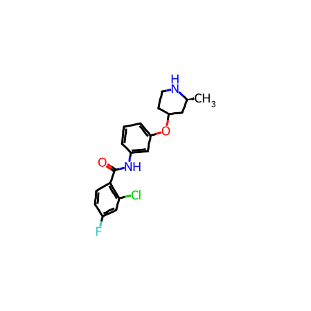 C[C@H]1CC(Oc2cccc(NC(=O)c3ccc(F)cc3Cl)c2)CCN1